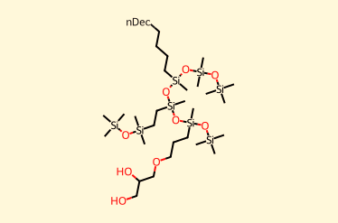 CCCCCCCCCCCCCC[Si](C)(O[Si](C)(C)O[Si](C)(C)C)O[Si](C)(CC[Si](C)(C)O[Si](C)(C)C)O[Si](C)(CCCOCC(O)CO)O[Si](C)(C)C